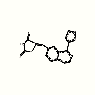 O=C1NC(=O)/C(=C/c2ccc3ncnc(-c4ccsc4)c3c2)S1